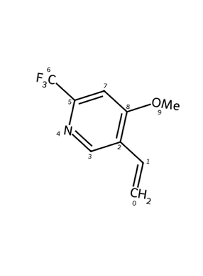 C=Cc1cnc(C(F)(F)F)cc1OC